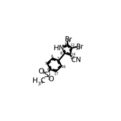 CS(=O)(=O)c1ccc(-c2[nH]c(Br)c(Br)c2C#N)cc1